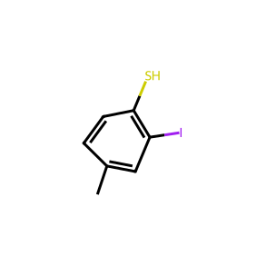 Cc1ccc(S)c(I)c1